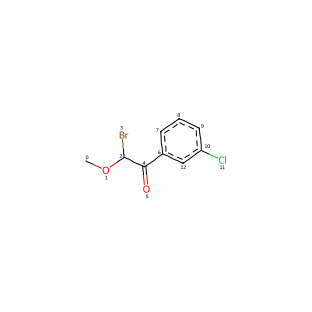 COC(Br)C(=O)c1cccc(Cl)c1